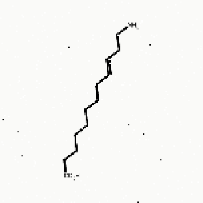 NCCC=CCCCCCCCC(=O)O